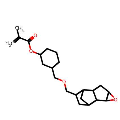 C=C(C)C(=O)OC1CCCC(COCC2CC3CC2C2CC4OC4C32)C1